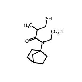 CC(CS)C(=O)N(CC(=O)O)C12CCC(CC1)C2